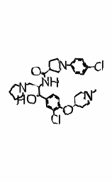 CN1CCC(Oc2ccc([C@@H](O)[C@@H](CN3CCCC3)NC(=O)[C@H]3CCN(c4ccc(Cl)cc4)C3)cc2Cl)CC1